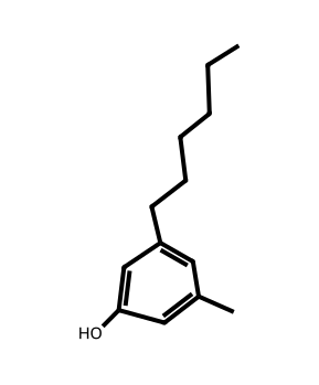 CCCCCCc1cc(C)cc(O)c1